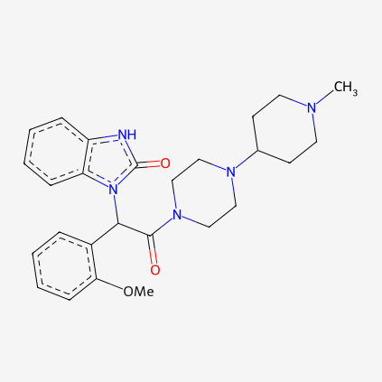 COc1ccccc1C(C(=O)N1CCN(C2CCN(C)CC2)CC1)n1c(=O)[nH]c2ccccc21